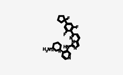 N[C@H]1CCC[C@@H](c2ccncc2Nc2ncc3ccc(-c4c(F)cc(C5(F)CCCC5)cc4F)nn23)C1